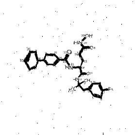 CC(C)(Cc1ccc(F)cc1)NC(=O)[C@H](CCC(=O)NO)NC(=O)c1ccc(-c2ccccc2)cc1